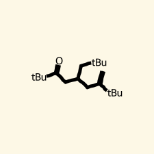 C=C(CC(CC(=O)C(C)(C)C)CC(C)(C)C)C(C)(C)C